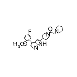 COc1ccc(F)cc1-c1ccnc2[nH]c(C3CCN(C(=O)CN4CCCCC4)CC3)cc12